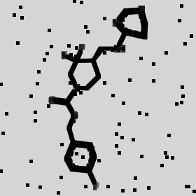 O=C(OCc1ccc(F)cc1)N1CC[C@H](CNc2ccncn2)C(F)(F)C1